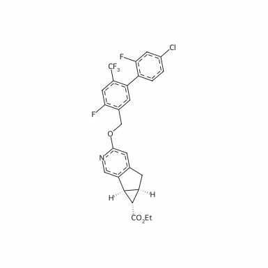 CCOC(=O)[C@H]1[C@@H]2Cc3cc(OCc4cc(-c5ccc(Cl)cc5F)c(C(F)(F)F)cc4F)ncc3[C@@H]21